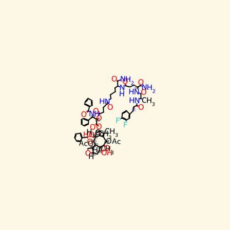 CC(=O)O[C@H]1C(=O)[C@@]2(C)[C@H]([C@H](OC(=O)c3ccccc3)[C@]3(O)C[C@H](OC(=O)[C@H](OC(=O)CCC(=O)NCCCCC(NC(=O)CC[C@H](NC(=O)C(C)NC(=O)/C=C/c4ccc(F)c(F)c4)C(N)=O)C(N)=O)[C@@H](NC(=O)c4ccccc4)c4ccccc4)C(C)=C1C3(C)C)[C@]1(OC(C)=O)CO[C@@H]1C[C@@H]2O